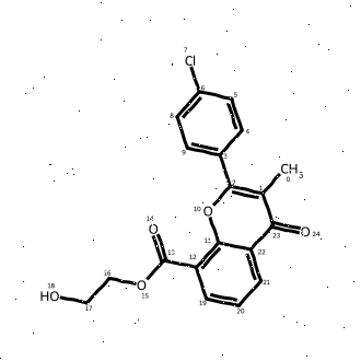 Cc1c(-c2ccc(Cl)cc2)oc2c(C(=O)OCCO)cccc2c1=O